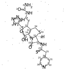 NC(=O)NCCC(Sc1nnn[nH]1)C1=C(C(=O)O)N2C(=O)C(NC(=S)Cc3ccncc3)[C@@H]2SC1